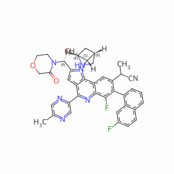 Cc1cnc(-c2nc3c(F)c(-c4cccc5ccc(F)cc45)c(C(C)C#N)cc3c3c2cc([C@@H](C)N2CCOCC2=O)n3[C@H]2[C@H]3CN[C@@H]2C3)cn1